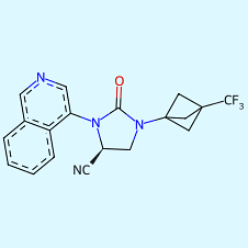 N#C[C@@H]1CN(C23CC(C(F)(F)F)(C2)C3)C(=O)N1c1cncc2ccccc12